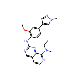 CCN(C)c1nccc2cnc(Nc3ccc(-c4cnn(C)c4)cc3OC)nc12